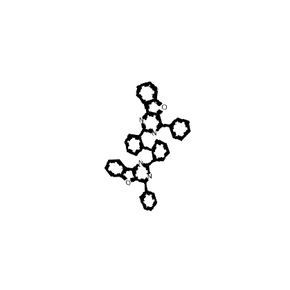 c1ccc(-c2nc(-c3ccccc3-c3ccccc3-c3nc(-c4ccccc4)c4oc5ccccc5c4n3)nc3c2oc2ccccc23)cc1